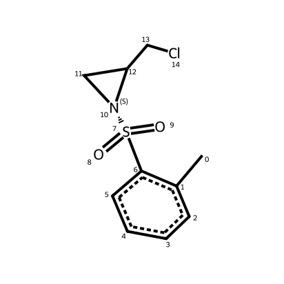 Cc1ccccc1S(=O)(=O)[N@]1CC1CCl